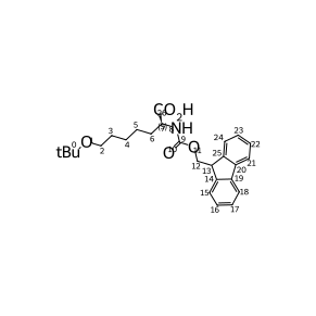 CC(C)(C)OCCCCC[C@H](NC(=O)OCC1c2ccccc2-c2ccccc21)C(=O)O